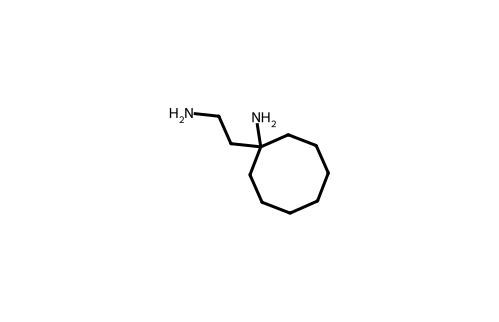 NCCC1(N)CCCCCCC1